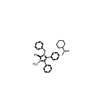 Cn1c(-c2ccccc2)c(-c2ccccc2)n(Cc2ccccc2)[c]1=[Pt].IN(I)C1CCCCC1